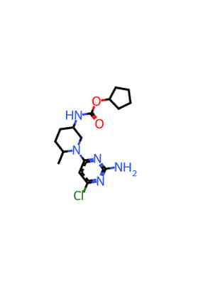 CC1CCC(NC(=O)OC2CCCC2)CN1c1cc(Cl)nc(N)n1